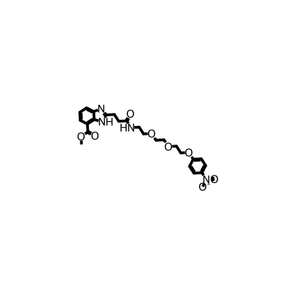 COC(=O)c1cccc2nc(CCC(=O)NCCOCCOCCOc3ccc([N+](=O)[O-])cc3)[nH]c12